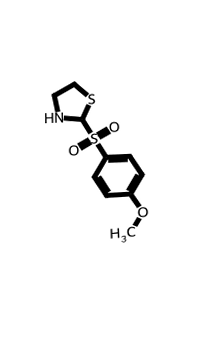 COc1ccc(S(=O)(=O)C2NCCS2)cc1